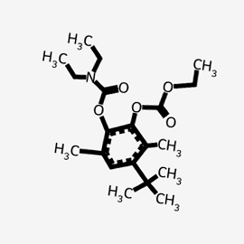 CCOC(=O)Oc1c(C)c(C(C)(C)C)cc(C)c1OC(=O)N(CC)CC